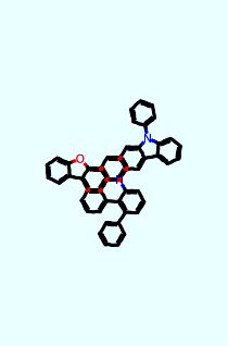 c1ccc(-c2ccccc2-c2c(-c3ccccc3)cccc2N(c2ccc3c(c2)oc2ccccc23)c2ccc3c(c2)c2ccccc2n3-c2ccccc2)cc1